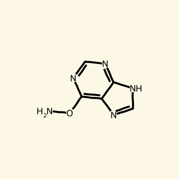 NOc1ncnc2[nH]cnc12